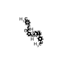 COc1ccc(-n2nnc3cnc(N[C@@H]4CC[C@@H](C(=O)NCCN5CCN(C)CC5)C4)nc32)cc1